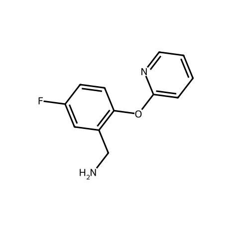 NCc1cc(F)ccc1Oc1ccccn1